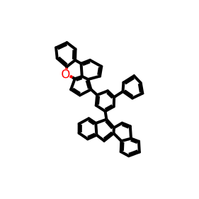 c1ccc(-c2cc(-c3ccc4c5c(cccc35)-c3ccccc3O4)cc(-c3c4ccccc4cc4c3ccc3ccccc34)c2)cc1